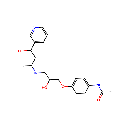 CC(=O)Nc1ccc(OCC(O)CNC(C)CC(O)c2cccnc2)cc1